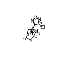 CN1C2C=C(c3nonc3Cl)CC1CC2